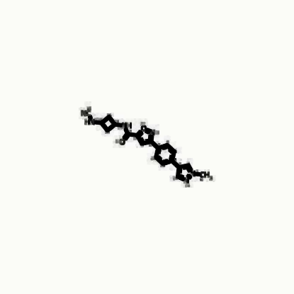 Cn1cc(-c2ccc(-c3cc(C(=O)NC4CC(NC#N)C4)on3)cc2)cn1